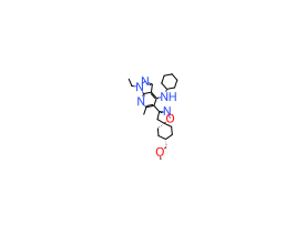 CCn1ncc2c(NC3CCCCC3)c(C3=NO[C@]4(CC[C@@H](COC)CC4)C3)c(C)nc21